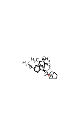 COc1ccc(CSC2CC3CCC(C2)N3C[C@@H](F)Cn2nc(C)n(C)c2=O)cc1